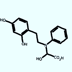 O=C(O)C(O)N(CCc1ccc(O)cc1O)c1ccccc1